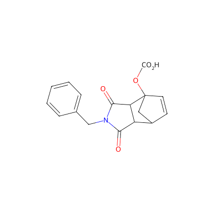 O=C(O)OC12C=CC(C1)C1C(=O)N(Cc3ccccc3)C(=O)C12